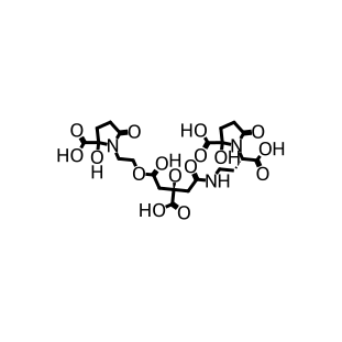 O=C(C[C@@](O)(CC(=O)OCCN1C(=O)CCC1(O)C(=O)O)C(=O)O)NCC[C@@H](C(=O)O)N1C(=O)CCC1(O)C(=O)O